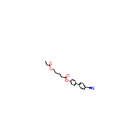 C=CC(=O)OCCCCC(=O)Oc1ccc(-c2ccc(C#N)cc2)cc1